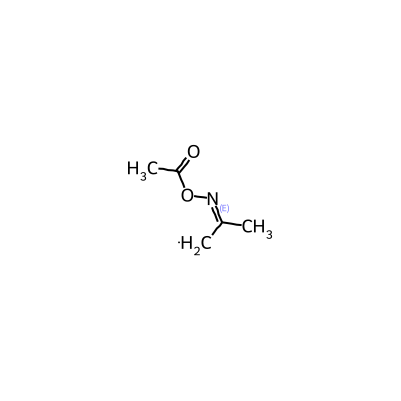 [CH2]/C(C)=N\OC(C)=O